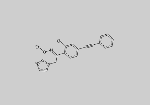 CCO/N=C(\Cn1ccnc1)c1ccc(C#Cc2ccccc2)cc1Cl